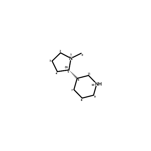 CN1CCC[C@H]1C1CCCNC1